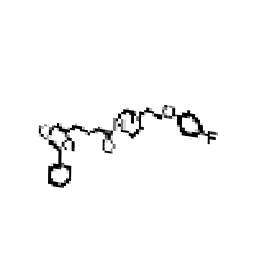 O=C(CCCC1=COC=C(C2=CC=CCC2)O1)N1CCN(CCOc2ccc(F)cc2)CC1